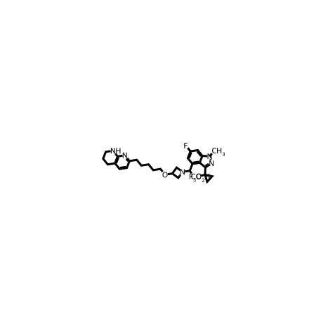 Cn1nc(C2(C(F)(F)F)CC2)c2c(C(C(=O)O)N3CC(OCCCCCc4ccc5c(n4)NCCC5)C3)cc(F)cc21